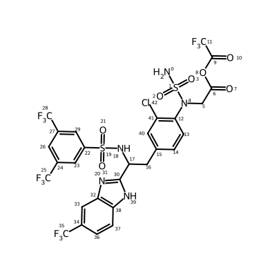 NS(=O)(=O)N(CC(=O)OC(=O)C(F)(F)F)c1ccc(CC(NS(=O)(=O)c2cc(C(F)(F)F)cc(C(F)(F)F)c2)c2nc3cc(C(F)(F)F)ccc3[nH]2)cc1Cl